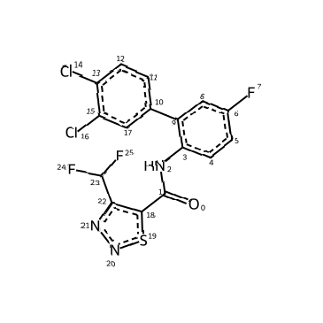 O=C(Nc1ccc(F)cc1-c1ccc(Cl)c(Cl)c1)c1snnc1C(F)F